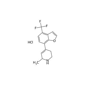 CC1C=C(c2ccc(C(F)(F)F)c3ccoc23)CCN1.Cl